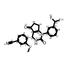 CSc1cc(C#N)ccc1[C@H]1NC(=O)N(c2cccc(C(F)F)c2)C2=C1C(=O)CC2